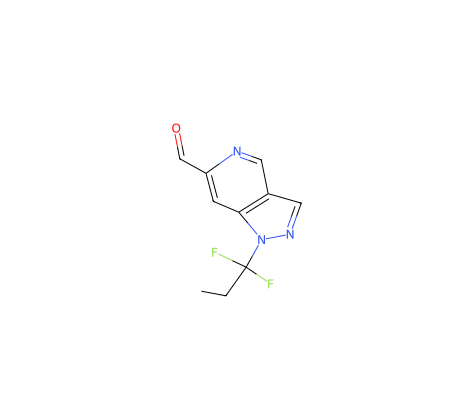 CCC(F)(F)n1ncc2cnc(C=O)cc21